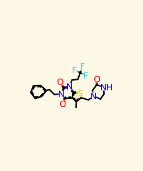 Cc1c(CN2CCNC(=O)C2)sc2c1c(=O)n(CCc1ccccc1)c(=O)n2CCC(F)(F)F